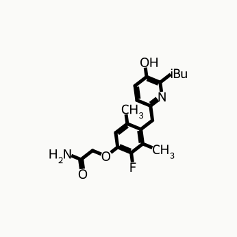 CCC(C)c1nc(Cc2c(C)cc(OCC(N)=O)c(F)c2C)ccc1O